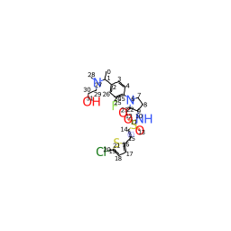 CC(c1ccc(N2CCC(NS(=O)(=O)/C=C/c3ccc(Cl)s3)C2=O)c(F)c1)N(C)CCO